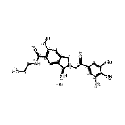 Br.CCOc1cc2c(cc1C(=O)NCCO)C(=N)N(CC(=O)c1cc(C(C)(C)C)c(O)c(C(C)(C)C)c1)C2